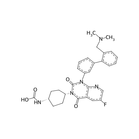 CN(C)Cc1ccccc1-c1cccc(-n2c(=O)n([C@H]3CC[C@@H](NC(=O)O)CC3)c(=O)c3cc(F)cnc32)c1